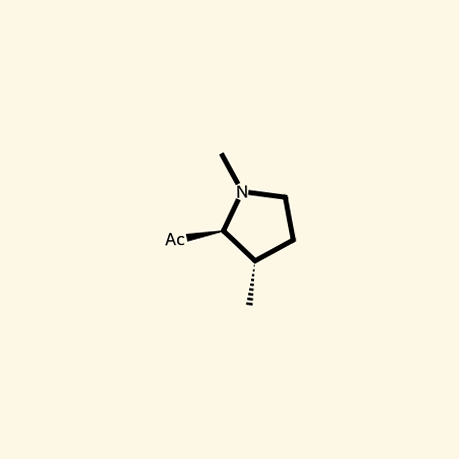 CC(=O)[C@@H]1[C@@H](C)CCN1C